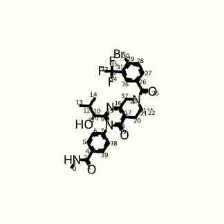 CNC(=O)c1ccc(-n2c([C@H](O)C(C)C)nc3c(c2=O)C[C@@H](C)N(C(=O)c2ccc(Br)c(C(F)(F)F)c2)C3)cc1